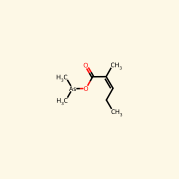 CCC=C(C)C(=O)O[As](C)C